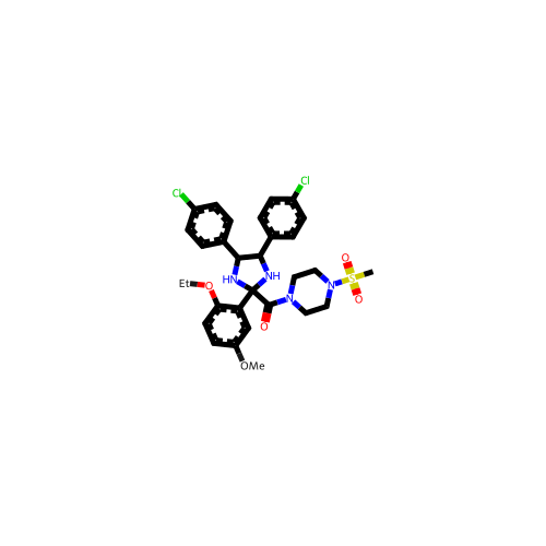 CCOc1ccc(OC)cc1C1(C(=O)N2CCN(S(C)(=O)=O)CC2)NC(c2ccc(Cl)cc2)C(c2ccc(Cl)cc2)N1